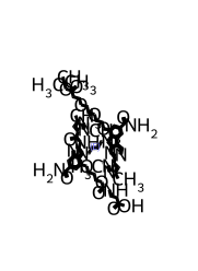 CCn1nc(C)cc1C(=O)Nc1nc2cc(C(N)=O)cc(OCCCOC(=O)NCCC(=O)O)c2n1C/C=C/Cn1c2nc(-c3cc(C)nn3CC)ncc2c2cc(C(N)=O)cc(OCCOCCOCCC(=O)OC(C)(C)C)c21